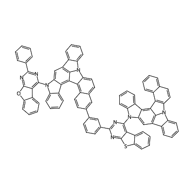 c1ccc(-c2nc(-n3c4ccccc4c4c5c6c7ccc(-c8cccc(-c9nc(-n%10c%11ccccc%11c%11c%12c%13c%14ccccc%14ccc%13n%13c%14ccccc%14c(cc%11%10)c%12%13)c%10c(n9)sc9ccccc9%10)c8)cc7ccc6n6c7ccccc7c(cc43)c56)c3c(n2)oc2ccccc23)cc1